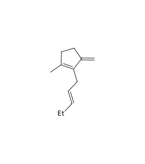 C=C1CCC(C)=C1CC=CCC